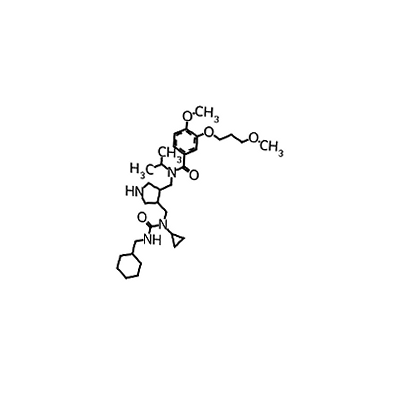 COCCCOc1cc(C(=O)N(CC2CNCC2CN(C(=O)NCC2CCCCC2)C2CC2)C(C)C)ccc1OC